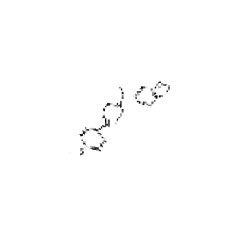 CSc1cnc(N2CCN(C(C)c3ccc4c(c3)OCC4)CC2)nc1